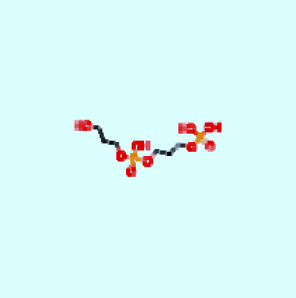 O=P(O)(O)OCCCOP(=O)(O)OCCCO